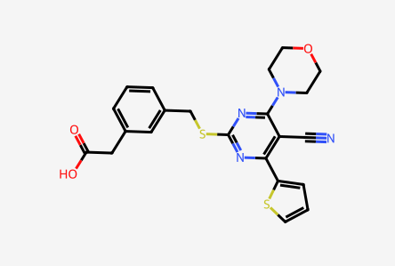 N#Cc1c(-c2cccs2)nc(SCc2cccc(CC(=O)O)c2)nc1N1CCOCC1